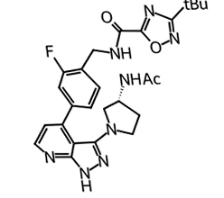 CC(=O)N[C@@H]1CCN(c2n[nH]c3nccc(-c4ccc(CNC(=O)c5nc(C(C)(C)C)no5)c(F)c4)c23)C1